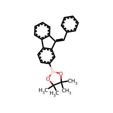 CC1(C)OB(c2ccc3c(c2)/C(=C/c2ccccc2)c2ccccc2-3)OC1(C)C